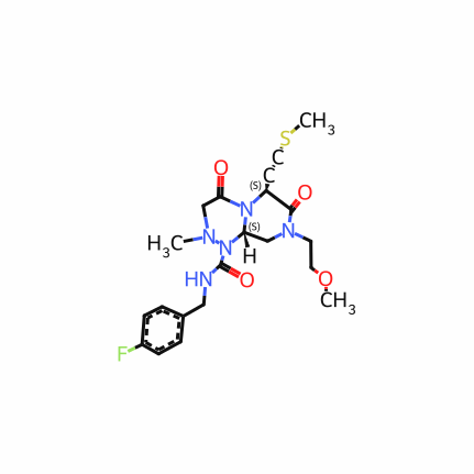 COCCN1C[C@H]2N(C(=O)CN(C)N2C(=O)NCc2ccc(F)cc2)[C@@H](CCSC)C1=O